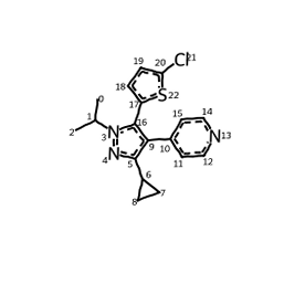 CC(C)n1nc(C2CC2)c(-c2ccncc2)c1-c1ccc(Cl)s1